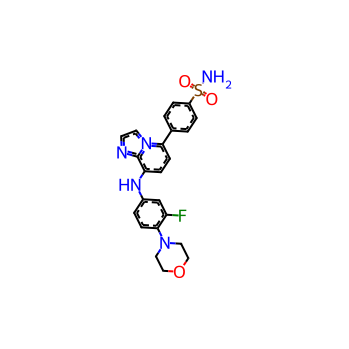 NS(=O)(=O)c1ccc(-c2ccc(Nc3ccc(N4CCOCC4)c(F)c3)c3nccn23)cc1